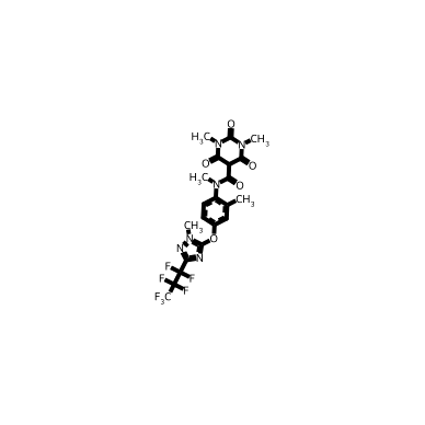 Cc1cc(Oc2nc(C(F)(F)C(F)(F)C(F)(F)F)nn2C)ccc1N(C)C(=O)C1C(=O)N(C)C(=O)N(C)C1=O